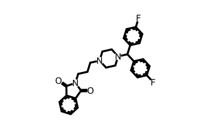 O=C1c2ccccc2C(=O)N1CCCN1CCN(C(c2ccc(F)cc2)c2ccc(F)cc2)CC1